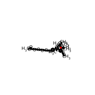 CCc1c(-c2ccc(OCCOCCOCCOCCOCCC(=O)OC)cc2)cnc(N(C(=O)OC(C)(C)C)C(=S)OC(C)(C)C)c1-c1ccc(OCOC)cc1